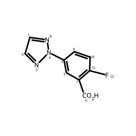 O=C(O)c1cc(-n2nccn2)ccc1F